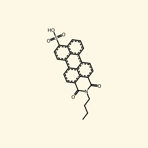 CCCCN1C(=O)c2ccc3c4cccc5c(S(=O)(=O)O)ccc(c6ccc(c2c36)C1=O)c54